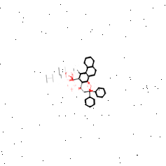 COC(=O)c1c2c(c3ccc4ccccc4c3c1C)OC(c1ccccc1)(c1ccccc1)CC2=O